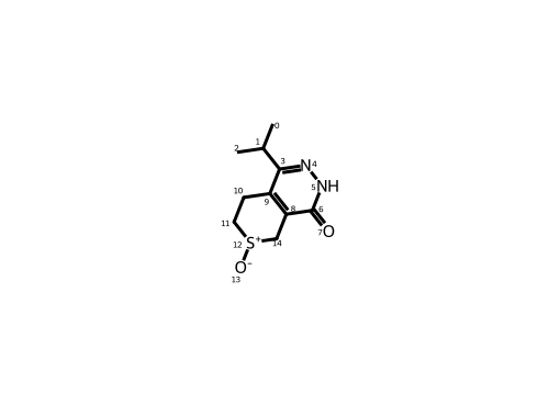 CC(C)c1n[nH]c(=O)c2c1CC[S+]([O-])C2